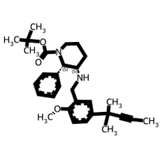 CC#CC(C)(C)c1ccc(OC)c(CN[C@H]2CCCN(C(=O)OC(C)(C)C)[C@H]2c2ccccc2)c1